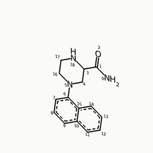 NC(=O)C1CN(c2cccc3ccccc23)CCN1